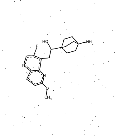 COc1ccc2ncc(F)c(CC(O)C34CCC(N)(CC3)CC4)c2n1